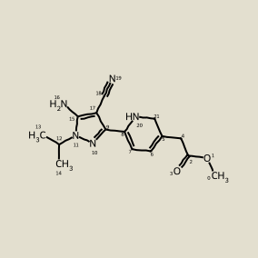 COC(=O)CC1=CC=C(c2nn(C(C)C)c(N)c2C#N)NC1